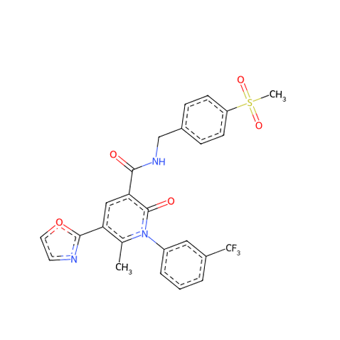 Cc1c(-c2ncco2)cc(C(=O)NCc2ccc(S(C)(=O)=O)cc2)c(=O)n1-c1cccc(C(F)(F)F)c1